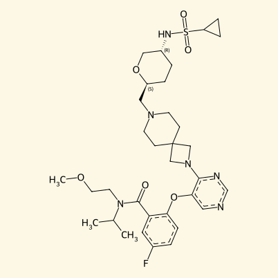 COCCN(C(=O)c1cc(F)ccc1Oc1cncnc1N1CC2(CCN(C[C@@H]3CC[C@@H](NS(=O)(=O)C4CC4)CO3)CC2)C1)C(C)C